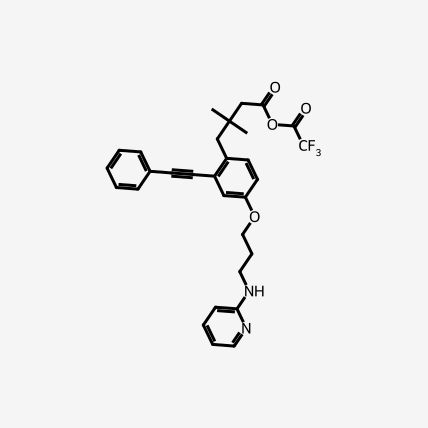 CC(C)(CC(=O)OC(=O)C(F)(F)F)Cc1ccc(OCCCNc2ccccn2)cc1C#Cc1ccccc1